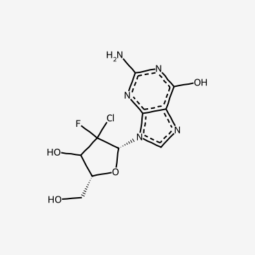 Nc1nc(O)c2ncn([C@@H]3O[C@H](CO)C(O)C3(F)Cl)c2n1